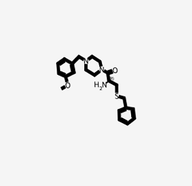 COc1cccc(CN2CCN(C(=O)[C@@H](N)CSCc3ccccc3)CC2)c1